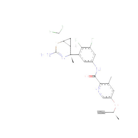 C#C[C@H](C)Oc1cnc(C(=O)Nc2cc(F)c(F)c([C@]3(C)N=C(N)S[C@@]4(C(F)F)C[C@@H]34)c2)c(C)c1